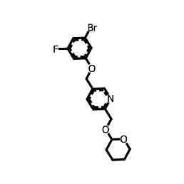 Fc1cc(Br)cc(OCc2ccc(COC3CCCCO3)nc2)c1